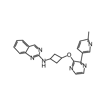 Cc1ccc(-c2nccnc2OC2CC(Nc3ncc4ccccc4n3)C2)cn1